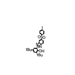 CC(C)(C)c1cc(-n2nc3ccc(S(=O)(=O)c4ccc(I)cc4)cc3n2)c(O)c(C(C)(C)C)c1